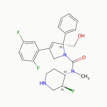 CN(C(=O)N1CC(c2cc(F)ccc2F)=C[C@@]1(CO)c1ccccc1)[C@H]1CCNC[C@@H]1F